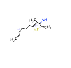 C=C/C=C\CC/C=C(\C)C(=N)C(=C)S